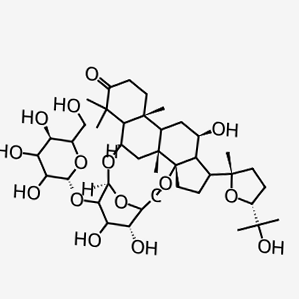 CC1(C)C(=O)CC[C@@]2(C)C1[C@@H]1C[C@]3(C)C2C[C@@H](O)C2C([C@]4(C)CC[C@H](C(C)(C)O)O4)CC[C@]23OCC2O[C@H](O1)C(O[C@H]1OC(CO)[C@H](O)C(O)C1O)C(O)[C@H]2O